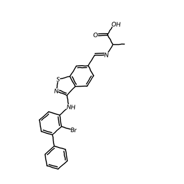 CC(N=Cc1ccc2c(Nc3cccc(-c4ccccc4)c3Br)nsc2c1)C(=O)O